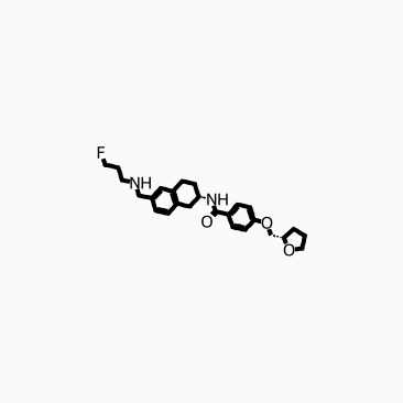 O=C(N[C@H]1CCc2cc(CNCCCF)ccc2C1)c1ccc(OC[C@@H]2CCCO2)cc1